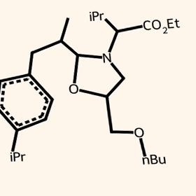 CCCCOCC1CN(C(C(=O)OCC)C(C)C)C(C(C)Cc2ccc(C(C)C)cc2)O1